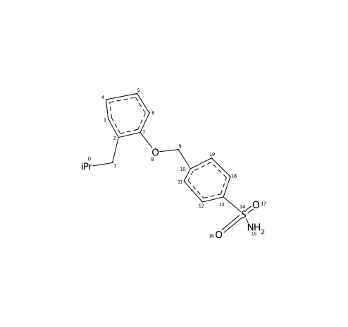 CC(C)Cc1ccccc1OCc1ccc(S(N)(=O)=O)cc1